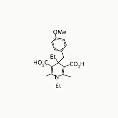 CCN1C(C)=C(C(=O)O)C(CC)(Cc2ccc(OC)cc2)C(C(=O)O)=C1C